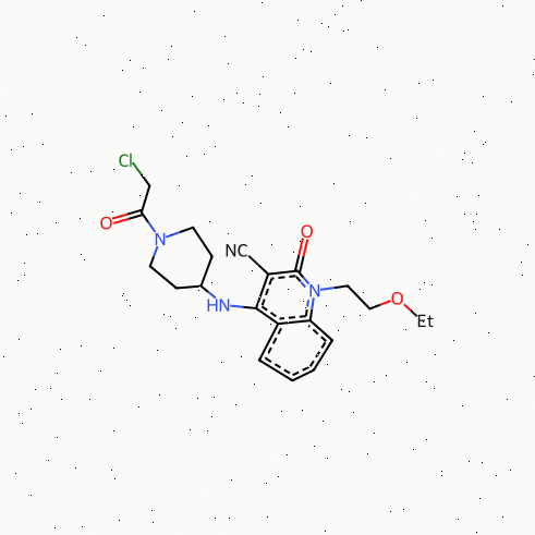 CCOCCn1c(=O)c(C#N)c(NC2CCN(C(=O)CCl)CC2)c2ccccc21